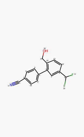 N#Cc1ccc(-c2cc(C(F)F)ccc2CO)cc1